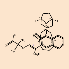 CC(C)(O/N=C(\C(=O)O)c1nc2ccccc2n([C@H]2C[C@H]3CC[C@@H](C2)N3[C@@H]2C[C@@H]3CCCC[C@@H](C3)C2)c1=O)C(N)=O